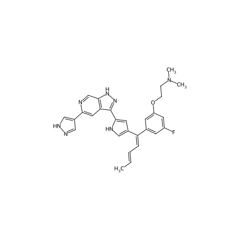 C/C=C/C=C(/c1cc(F)cc(OCCN(C)C)c1)c1c[nH]c(-c2n[nH]c3cnc(-c4cn[nH]c4)cc23)c1